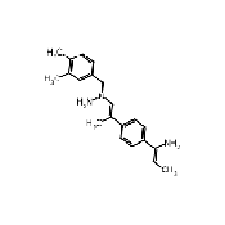 C/C=C(\N)c1ccc(/C(C)=C/N(N)Cc2ccc(C)c(C)c2)cc1